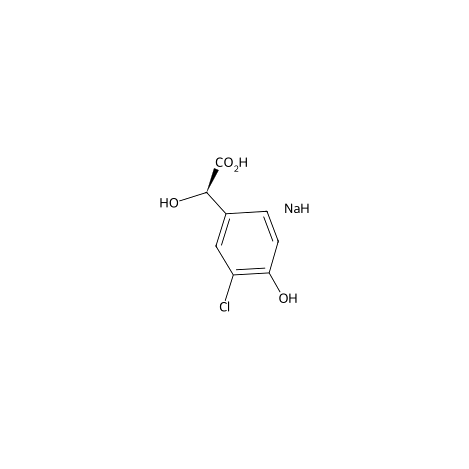 O=C(O)[C@H](O)c1ccc(O)c(Cl)c1.[NaH]